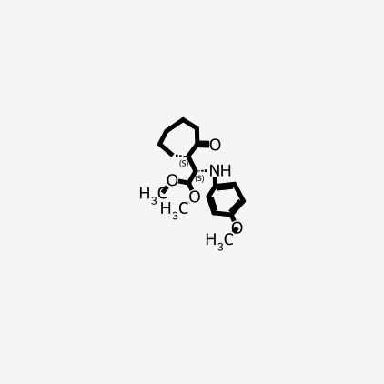 COc1ccc(N[C@H](C(OC)OC)[C@@H]2CCCCCC2=O)cc1